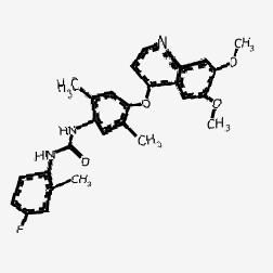 COc1cc2nccc(Oc3cc(C)c(NC(=O)Nc4ccc(F)cc4C)cc3C)c2cc1OC